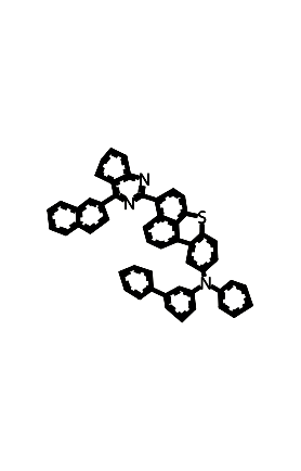 c1ccc(-c2cccc(N(c3ccccc3)c3ccc4c(c3)-c3cccc5c(-c6nc(-c7ccc8ccccc8c7)c7ccccc7n6)ccc(c35)S4)c2)cc1